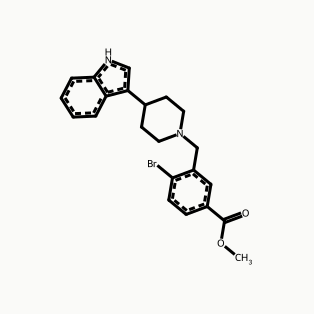 COC(=O)c1ccc(Br)c(CN2CCC(c3c[nH]c4ccccc34)CC2)c1